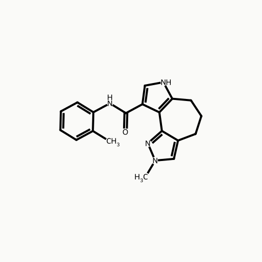 Cc1ccccc1NC(=O)c1c[nH]c2c1-c1nn(C)cc1CCC2